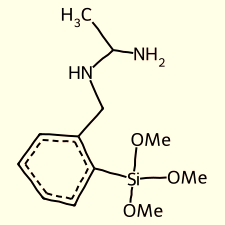 CO[Si](OC)(OC)c1ccccc1CNC(C)N